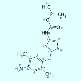 Cc1cc(Cc2nc(NC(=O)OC(C)C)cs2)c(C)cc1N